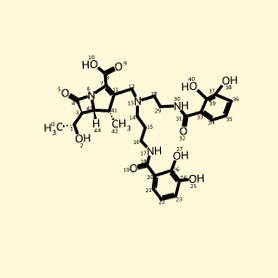 C[C@@H](O)[C@H]1C(=O)N2C(C(=O)O)=C(CN(CCCNC(=O)c3cccc(O)c3O)CCNC(=O)c3cccc(O)c3O)[C@H](C)[C@H]12